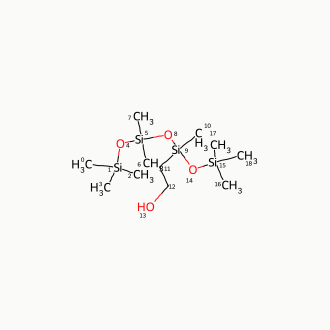 C[Si](C)(C)O[Si](C)(C)O[Si](C)(CCO)O[Si](C)(C)C